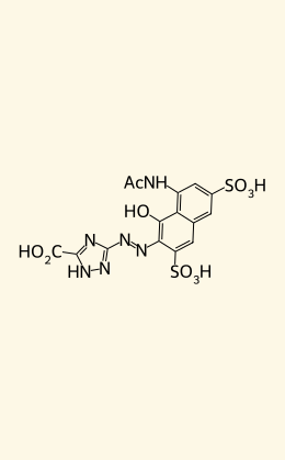 CC(=O)Nc1cc(S(=O)(=O)O)cc2cc(S(=O)(=O)O)c(/N=N/c3n[nH]c(C(=O)O)n3)c(O)c12